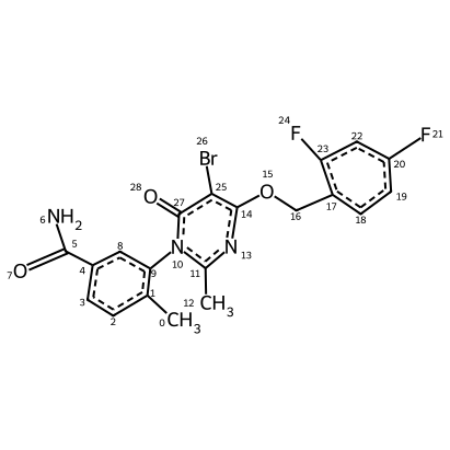 Cc1ccc(C(N)=O)cc1-n1c(C)nc(OCc2ccc(F)cc2F)c(Br)c1=O